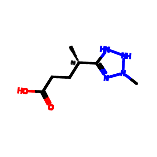 C[C@@H](CCC(=O)O)C1=NN(C)NN1